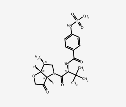 C[C@H]1CN(C(=O)[C@@H](NC(=O)c2ccc(NS(C)(=O)=O)cc2)C(C)(C)C)[C@@H]2C(=O)CO[C@@H]21